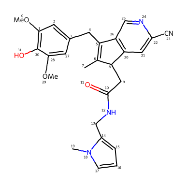 COc1cc(CC2=C(C)C(CC(=O)NCc3cccn3C)c3cc(C#N)ncc32)cc(OC)c1O